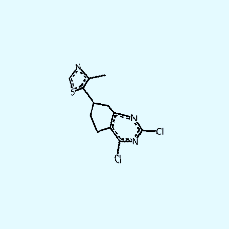 Cc1ncsc1C1CCc2c(Cl)nc(Cl)nc2C1